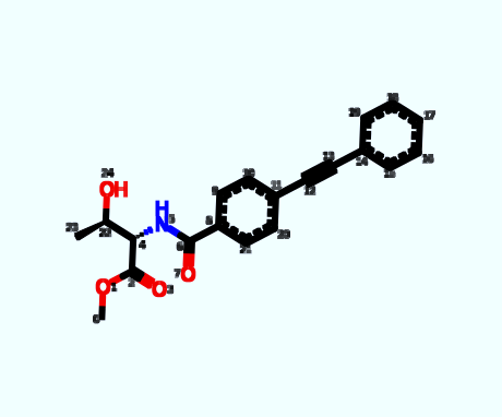 COC(=O)[C@@H](NC(=O)c1ccc(C#Cc2ccccc2)cc1)[C@@H](C)O